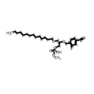 CCCCCCCCCCCCCCOC[C@H](COP(=O)(O)OC)OCc1ccc(C#N)cc1F